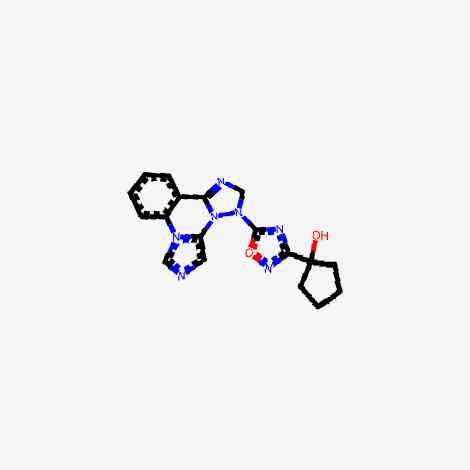 OC1(c2noc(N3CN=C4c5ccccc5-n5cncc5N43)n2)CCCC1